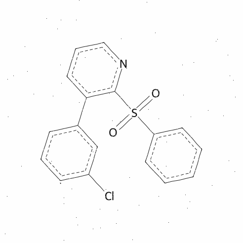 O=S(=O)(c1ccccc1)c1ncccc1-c1cc[c]c(Cl)c1